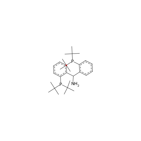 CC(C)(C)P(c1ccccc1C(N)c1ccccc1P(C(C)(C)C)C(C)(C)C)C(C)(C)C